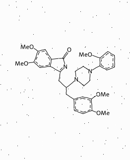 COc1ccc(CC(CC2=NC(=O)c3cc(OC)c(OC)cc32)N2CCN(c3ccccc3OC)CC2)cc1OC